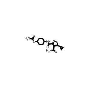 NC(=O)OC1CCC(NC(=O)c2noc(C3CC3)c2C(N)=O)CC1